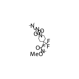 CON(C)C(=O)[C@@H]1C(F)(F)C12CCN(S(=O)(=O)N=CN(C)C)CC2